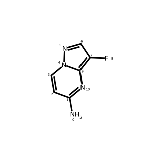 Nc1ccn2ncc(F)c2n1